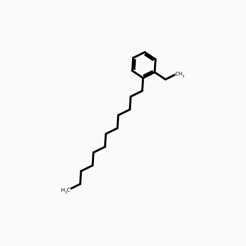 CCCCCCCCCCCCc1[c]cccc1CC